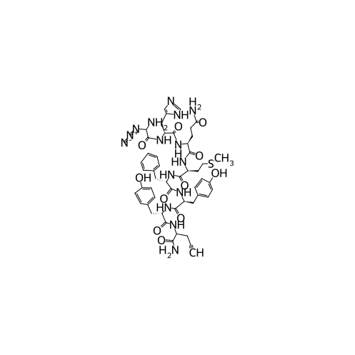 C#CCC(NC(=O)[C@H](Cc1ccc(O)cc1)NC(=O)[C@H](Cc1ccc(O)cc1)NC(=O)[C@H](Cc1ccccc1)NC(=O)[C@H](CCSC)NC(=O)[C@H](CCC(N)=O)NC(=O)[C@H](Cc1cnc[nH]1)NC(=O)C(N)N=[N+]=[N-])C(N)=O